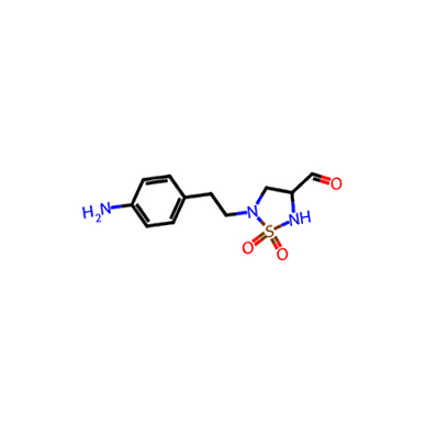 Nc1ccc(CCN2CC(C=O)NS2(=O)=O)cc1